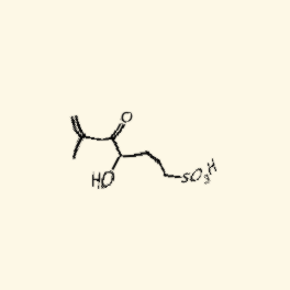 C=C(C)C(=O)C(O)CCS(=O)(=O)O